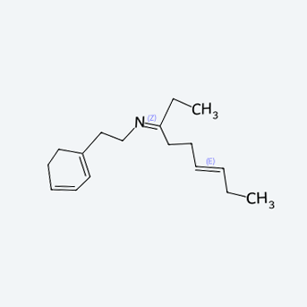 CC/C=C/CC/C(CC)=N\CCC1=CC=CCC1